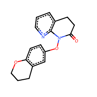 O=C1CCc2cccnc2N1Oc1ccc2c(c1)CCCO2